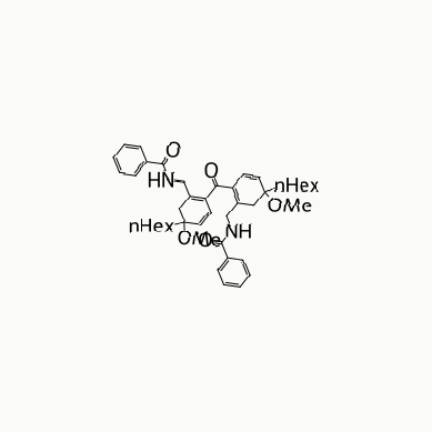 CCCCCCC1(OC)C=CC(C(=O)C2=C(CNC(=O)c3ccccc3)CC(CCCCCC)(OC)C=C2)=C(CNC(=O)c2ccccc2)C1